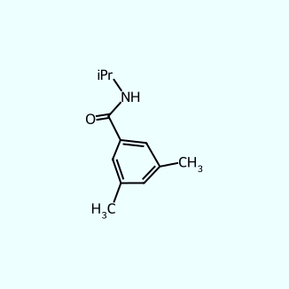 Cc1cc(C)cc(C(=O)NC(C)C)c1